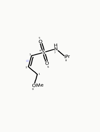 COC/C=C\S(=O)(=O)NC(C)C